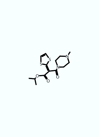 CC(C)OC(=O)C(C(=O)N1CCN(C)CC1)=C1SC=CS1